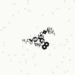 C=CC(=O)N1CCN(c2nc(O[C@H]3C[C@H](N(C)C)C3)nc3c2CCN(c2cccc4cccc(C)c24)C3)C[C@@H]1CC#N